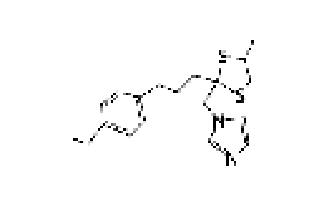 CCc1ccc(CCCC2(Cn3ccnc3)SCC(C)S2)cc1